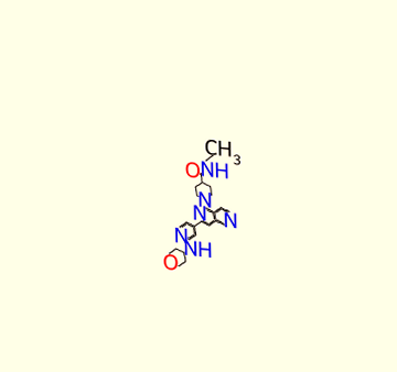 CCCNC(=O)C1CCN(c2nc(-c3ccnc(NC4CCOCC4)c3)cc3cnccc23)CC1